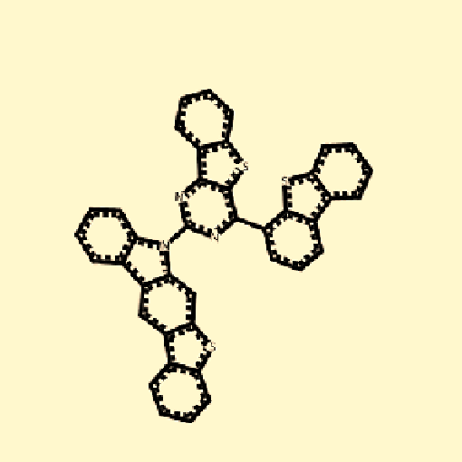 c1ccc2c(c1)sc1cc3c(cc12)c1ccccc1n3-c1nc(-c2cccc3c2sc2ccccc23)c2sc3ccccc3c2n1